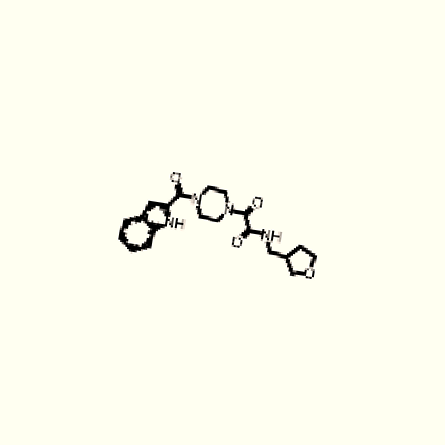 O=C(NCC1CCOC1)C(=O)N1CCN(C(=O)c2cc3ccccc3[nH]2)CC1